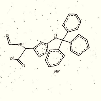 O=CNC(C(=O)[O-])c1csc(NC(c2ccccc2)(c2ccccc2)c2ccccc2)n1.[Na+]